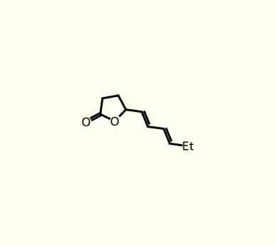 CCC=CC=CC1CCC(=O)O1